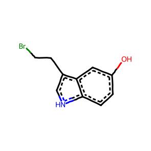 Oc1ccc2[nH]cc(CCBr)c2c1